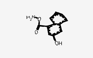 NOC(=O)c1cc(O)cc2ccccc12